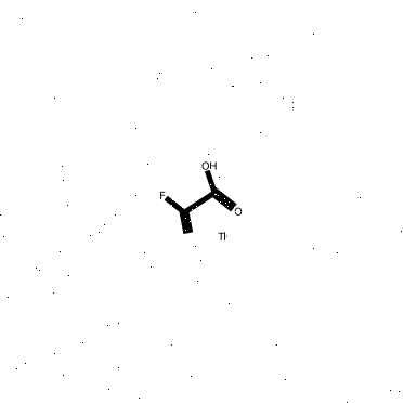 C=C(F)C(=O)O.[Tl]